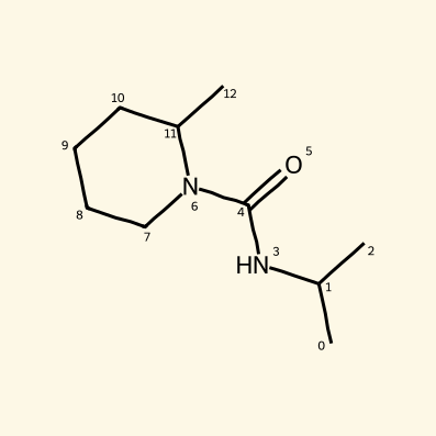 CC(C)NC(=O)N1CCCCC1C